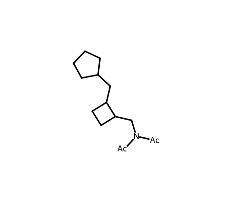 CC(=O)N(CC1CCC1CC1CCCC1)C(C)=O